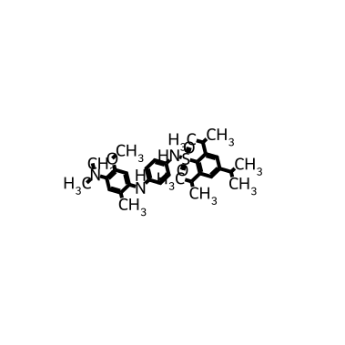 COc1cc(Nc2ccc(NS(=O)(=O)c3c(C(C)C)cc(C(C)C)cc3C(C)C)cc2)c(C)cc1N(C)C